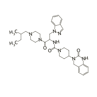 CCC(C)CN1CCN(C(=O)C(Cn2ncc3ccccc32)NC(=O)N2CCC(N3Cc4ccccc4NC3=O)CC2)CC1